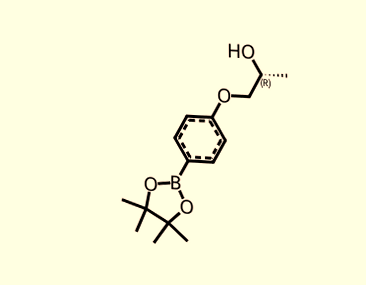 C[C@@H](O)COc1ccc(B2OC(C)(C)C(C)(C)O2)cc1